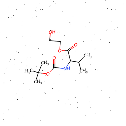 CC(C)C(NC(=O)OC(C)(C)C)C(=O)OCCO